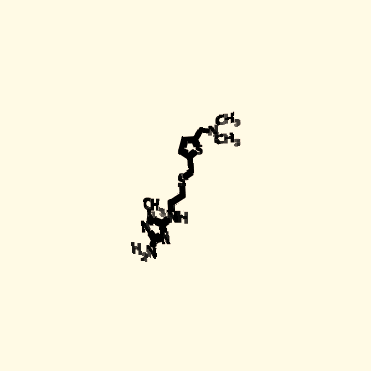 CN(C)Cc1ccc(CSCCNc2nc(N)nn2C)s1